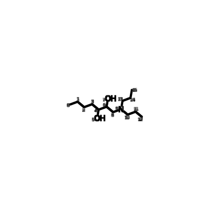 CCCCC(O)C(O)CN(CCC)CCC